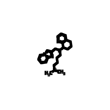 CN(C)CCCCN(Cc1cn2ccccc2n1)C1CCCc2cccnc21